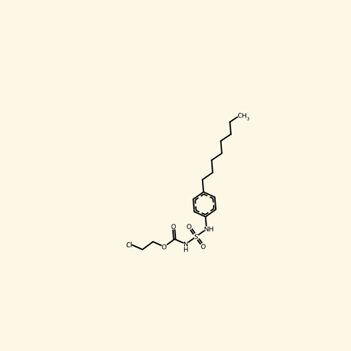 CCCCCCCCc1ccc(NS(=O)(=O)NC(=O)OCCCl)cc1